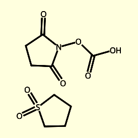 O=C(O)ON1C(=O)CCC1=O.O=S1(=O)CCCC1